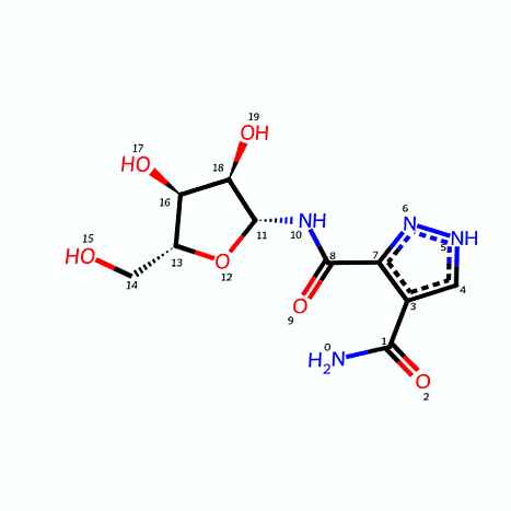 NC(=O)c1c[nH]nc1C(=O)N[C@@H]1O[C@H](CO)[C@@H](O)[C@H]1O